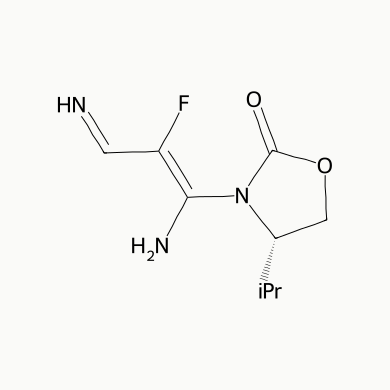 CC(C)[C@H]1COC(=O)N1/C(N)=C(\F)C=N